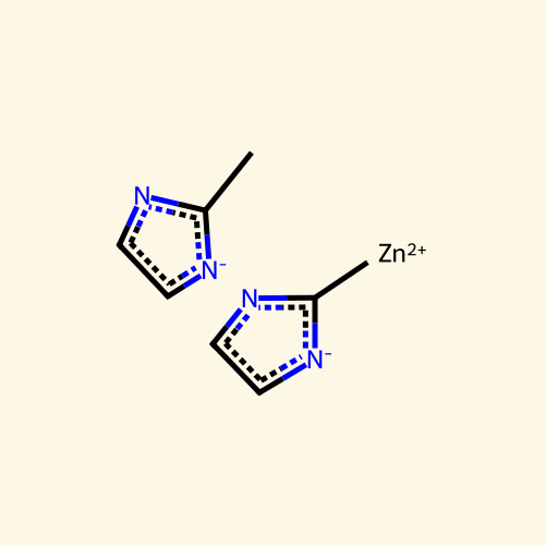 Cc1ncc[n-]1.Cc1ncc[n-]1.[Zn+2]